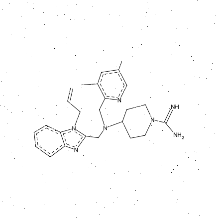 C=CCn1c(CN(Cc2ncc(C)cc2C)C2CCN(C(=N)N)CC2)nc2ccccc21